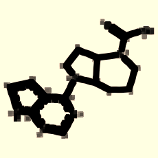 CCCCC(=O)N1CCCC2C1CCN2c1ncnc2[nH]ccc12